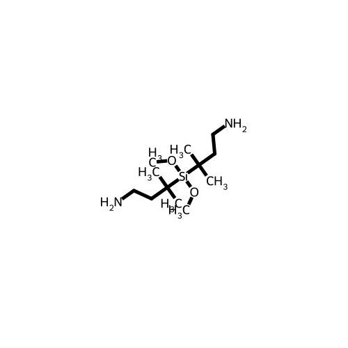 CO[Si](OC)(C(C)(C)CCN)C(C)(C)CCN